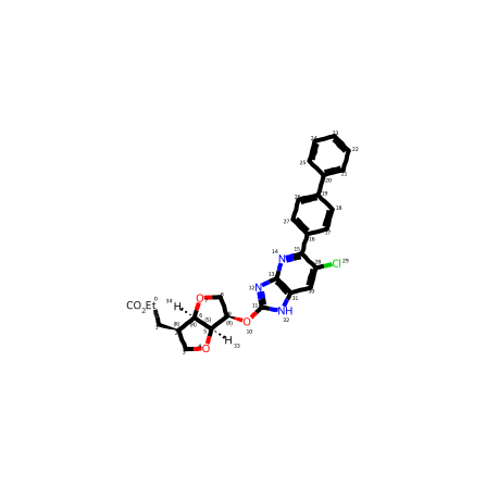 CCOC(=O)C[C@@H]1CO[C@H]2[C@@H]1OC[C@H]2Oc1nc2nc(-c3ccc(-c4ccccc4)cc3)c(Cl)cc2[nH]1